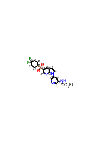 CCOC(=O)Nc1cncc(-n2ccc3cc(S(=O)(=O)C4CCC(F)(F)CC4)cnc32)c1